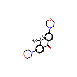 C[Si]1(C)c2cc(N3CCOCC3)ccc2C(=O)c2ccc(N3CCOCC3)cc21